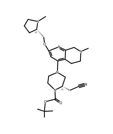 CN1CCc2c(N3CCN(C(=O)OC(C)(C)C)[C@@H](CC#N)C3)cc(OC[C@@H]3CCCN3C)nc2C1